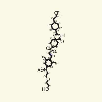 CC(=O)N(CCOCCO)c1cc(C)c(/C=C/S(=O)(=O)N2CCC3(CC2)N=C(C2CCC(CCC(F)(F)F)CC2)NC3=O)c(C)c1